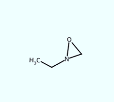 CCN1CO1